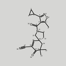 Cc1onc(C2CC2)c1C(=O)N1CC[C@]2(C=C(C#N)C(=O)C(C)(C)C2)C1